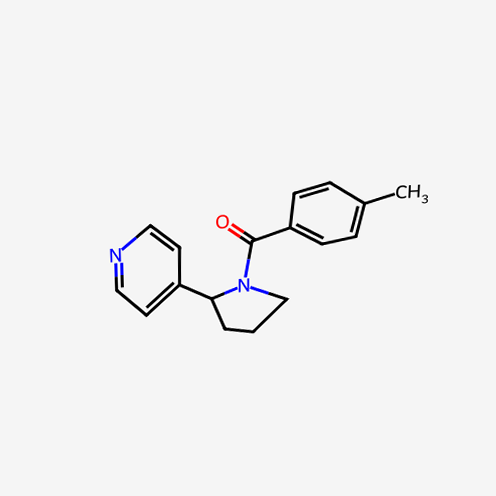 Cc1ccc(C(=O)N2CCCC2c2ccncc2)cc1